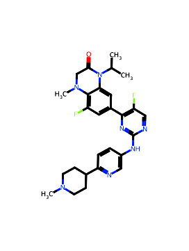 CC(C)N1C(=O)CN(C)c2c(F)cc(-c3nc(Nc4ccc(C5CCN(C)CC5)nc4)ncc3F)cc21